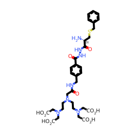 N[C@H](CSCc1ccccc1)C(=O)NNC(=O)c1ccc(CNC(=O)CN(CCN(CC(=O)O)CC(=O)O)CCN(CC(=O)O)CC(=O)O)cc1